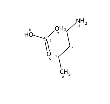 CCCCN.O=S(O)O